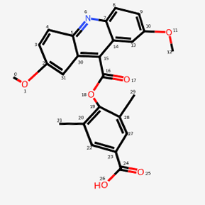 COc1ccc2nc3ccc(OC)cc3c(C(=O)Oc3c(C)cc(C(=O)O)cc3C)c2c1